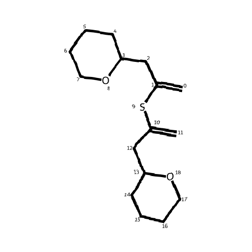 C=C(CC1CCCCO1)SC(=C)CC1CCCCO1